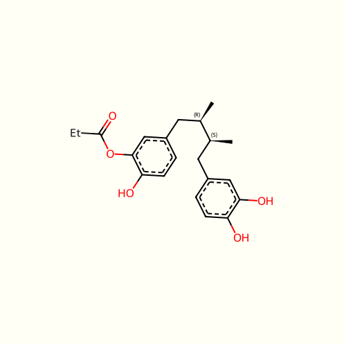 CCC(=O)Oc1cc(C[C@@H](C)[C@@H](C)Cc2ccc(O)c(O)c2)ccc1O